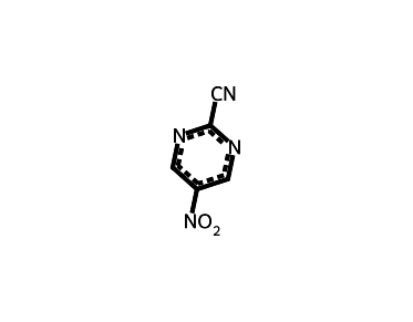 N#Cc1ncc([N+](=O)[O-])cn1